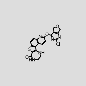 O=C1NCCNc2c1sc1ccc3nc(Oc4nc(Cl)nc5c4COC5)ccc3c21